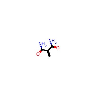 C=C(C(N)=O)C(N)=O